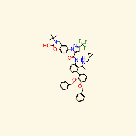 CC(NCC1CC1)c1c(NC(=O)c2cc(C(F)(F)F)nn2-c2cccc(CN(C(=O)O)C(C)(C)C)c2)cccc1-c1cccc(OCc2ccccc2)c1OCc1ccccc1